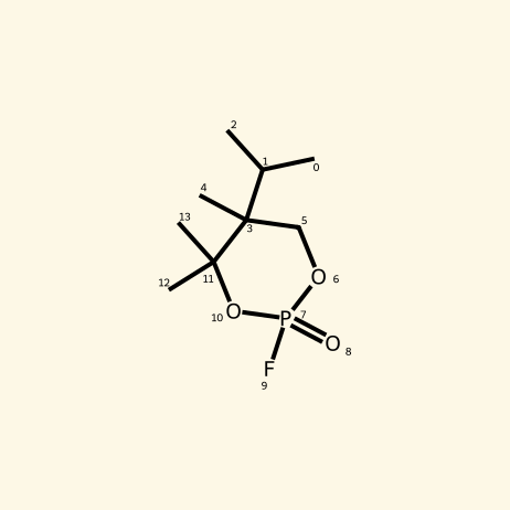 CC(C)C1(C)COP(=O)(F)OC1(C)C